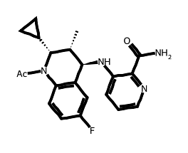 CC(=O)N1c2ccc(F)cc2[C@H](Nc2cccnc2C(N)=O)[C@@H](C)[C@H]1C1CC1